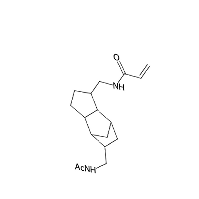 C=CC(=O)NCC1CCC2C3CC(CC3CNC(C)=O)C12